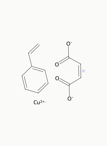 C=Cc1ccccc1.O=C([O-])/C=C\C(=O)[O-].[Cu+2]